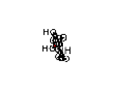 O=C(NCCN1C(=O)C=CC1=O)c1ccc2c(c1)C1(OC2=O)c2ccc(O)cc2Oc2cc(O)ccc21